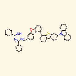 N=C(/N=C(\N=C\c1ccc2c(c1)oc1cccc(-c3cccc4c3sc3cc(-n5c6ccccc6c6ccccc65)ccc34)c12)c1ccccc1)c1ccccc1